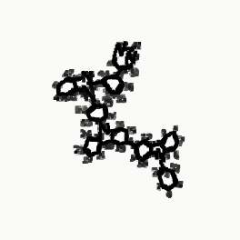 c1ccc(-n2c3ccccc3c3cc(-c4ccc5c(c4)c4ccccc4n5-c4ccc(-n5c(-c6cccc(-c7cncnc7)c6)nc6ccccc65)cc4)ccc32)cc1